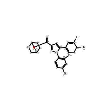 CC(C)c1ccc(-n2nc(C(=O)N3CC4CCC(C3)NC4)cc2C2=CCC(C#N)C(F)=C2)c(F)c1